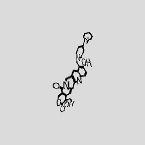 CC[C@@]1(O)C(=O)OCc2c1cc1n(c2=O)Cc2cc3c(CN4CCC(N5CCCCC5)CC4)c(O)ccc3nc2-1